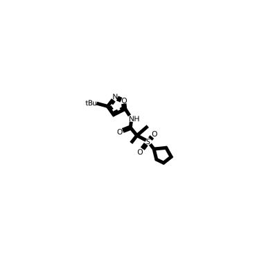 CC(C)(C)c1cc(NC(=O)C(C)(C)S(=O)(=O)C2CCCC2)on1